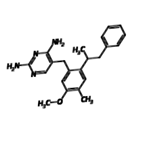 COc1cc(Cc2cnc(N)nc2N)c(C(C)Cc2ccccc2)cc1C